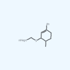 CCCCCCCCSC1C=C(C(C)C)CCC1C